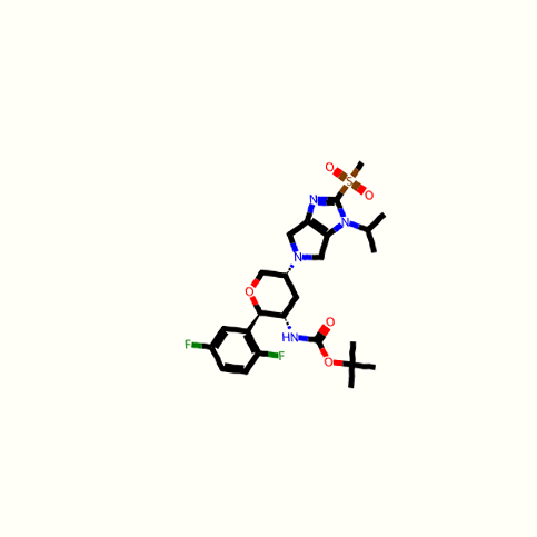 CC(C)n1c(S(C)(=O)=O)nc2c1CN([C@H]1CO[C@H](c3cc(F)ccc3F)[C@@H](NC(=O)OC(C)(C)C)C1)C2